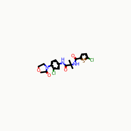 CC(C)(NC(=O)c1ccc(Cl)s1)C(=O)Nc1ccc(N2CCOCC2=O)c(Cl)c1